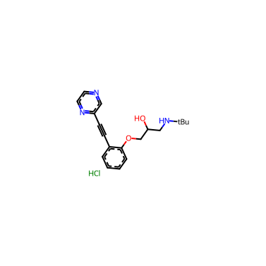 CC(C)(C)NCC(O)COc1ccccc1C#Cc1cnccn1.Cl